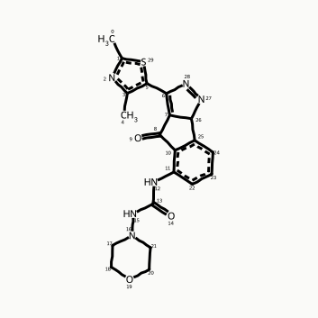 Cc1nc(C)c(C2=C3C(=O)c4c(NC(=O)NN5CCOCC5)cccc4C3N=N2)s1